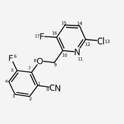 N#Cc1cccc(F)c1OCc1nc(Cl)ccc1F